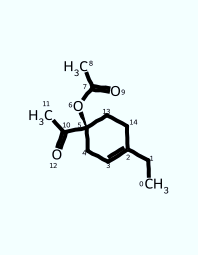 CCC1=CC[C@](OC(C)=O)(C(C)=O)CC1